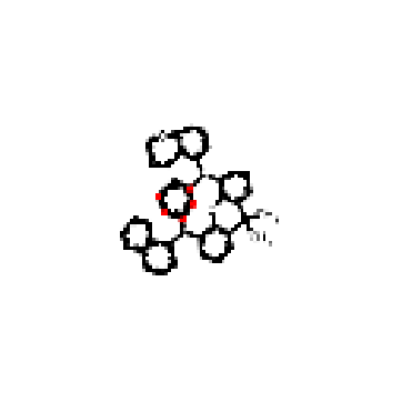 CC1(C)c2cccc(P(c3ccccc3)c3cccc4ccccc34)c2Oc2c(P(c3ccccc3)c3cccc4ccccc34)cccc21